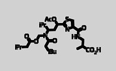 CCC(C)CC(=O)N(COC(=O)CC(C)C)C(CC(OC(C)=O)c1nc(C(=O)NCC(C)C(=O)O)cs1)C(C)C